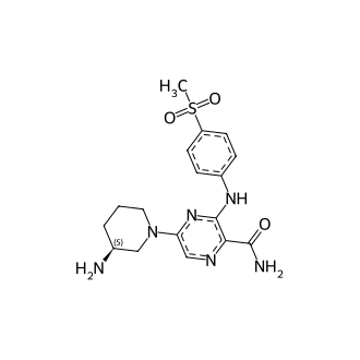 CS(=O)(=O)c1ccc(Nc2nc(N3CCC[C@H](N)C3)cnc2C(N)=O)cc1